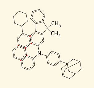 CC1(C)c2ccccc2-c2cc(-c3ccccc3)c(N(c3ccc(C45CC6CC(CC(C6)C4)C5)cc3)c3ccccc3-c3ccc(C4CCCCC4)cc3)cc21